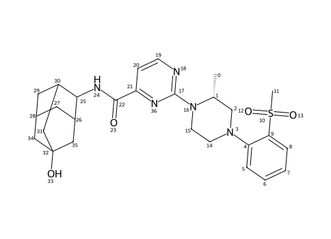 C[C@@H]1CN(c2ccccc2S(C)(=O)=O)CCN1c1nccc(C(=O)NC2C3CC4CC2CC(O)(C4)C3)n1